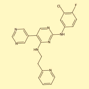 Fc1ccc(Nc2ncc(-c3cncnc3)c(NCCc3ccccn3)n2)cc1Cl